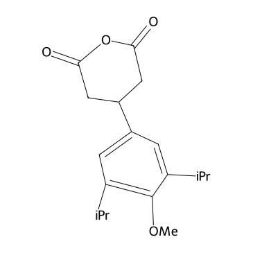 COc1c(C(C)C)cc(C2CC(=O)OC(=O)C2)cc1C(C)C